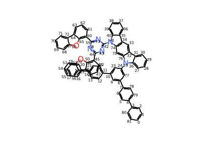 c1ccc(-c2ccc(-c3cc(-c4ccc(-c5ccccc5)cc4)cc(-n4c5ccccc5c5cc6c7ccccc7n(-c7nc(-c8cccc9c8oc8ccccc89)nc(-c8cccc9c8oc8ccccc89)n7)c6cc54)c3)cc2)cc1